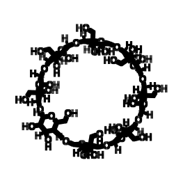 OCC1OC2O[C@@H]3C(CO)O[C@H](O[C@@H]4C(CO)O[C@H](O[C@@H]5C(CO)O[C@@H](O[C@@H]6C(CO)OC(O[C@@H]7C(CO)O[C@@H](O[C@@H]8C(CO)O[C@H](O[C@@H]9C(CO)O[C@H](OC1[C@H](O)[C@@H]2O)C(O)[C@H]9O)C(O)[C@H]8O)C(O)[C@H]7O)[C@@H](O)[C@H]6O)C(O)[C@H]5O)C(O)[C@H]4O)C(O)[C@H]3O